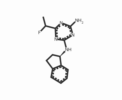 CC(F)c1nc(N)nc(N[C@@H]2CCc3ccccc32)n1